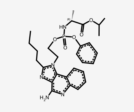 CCCCc1nc2c(N)nc3ccccc3c2n1CCOP(=O)(N[C@H](C)C(=O)OC(C)C)Oc1ccccc1